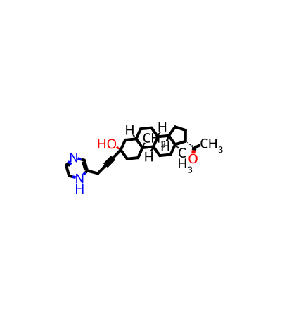 CC(=O)[C@H]1CC[C@H]2[C@@H]3CC[C@@H]4C[C@@](O)(C#CCC5=CN=CCN5)CC[C@]4(C)[C@H]3CC[C@]12C